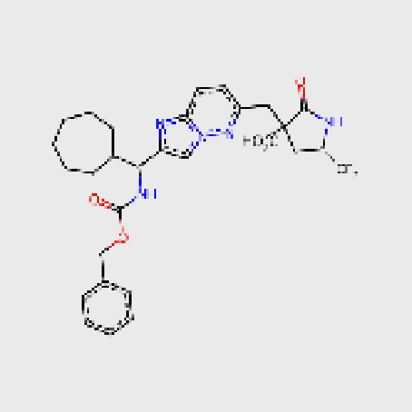 O=C(NC(c1cn2nc(CC3(C(=O)O)C[C@@H](C(F)(F)F)NC3=O)ccc2n1)C1CCCCCC1)OCc1ccccc1